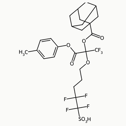 Cc1ccc(OC(=O)C(OCCCC(F)(F)C(F)(F)S(=O)(=O)O)(OC(=O)C23CC4CC(CC(C4)C2)C3)C(F)(F)F)cc1